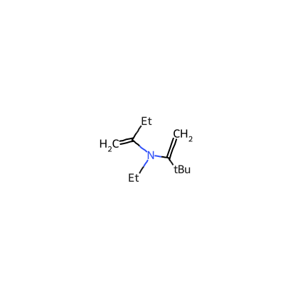 C=C(CC)N(CC)C(=C)C(C)(C)C